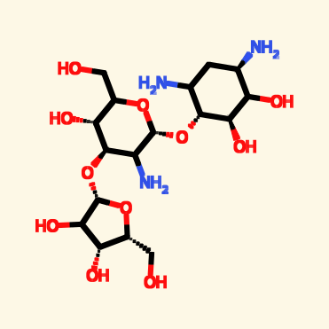 NC1C[C@@H](N)C(O)[C@@H](O)[C@@H]1O[C@H]1OC(CO)[C@@H](O)[C@H](O[C@@H]2O[C@H](CO)[C@H](O)C2O)C1N